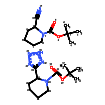 CC(C)(C)OC(=O)N1CCCCC1C#N.CC(C)(C)OC(=O)N1CCCCC1c1nn[nH]n1